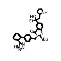 CCCCc1nc2ccc(C(O)(CC)CC3CCCN3)cc2c(=O)n1Cc1ccc(-c2ccccc2-c2nnn[nH]2)cc1